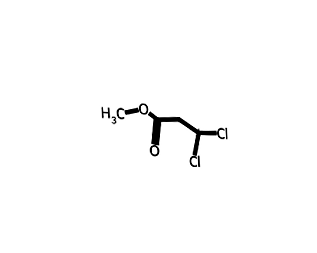 COC(=O)C[C](Cl)Cl